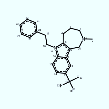 CN1CCCc2c(c3cc(C(F)(F)F)ccc3n2CCc2ccccc2)C1